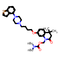 CCCCN(CCCC)C(=O)OCN1C(=O)CC(C)(C)c2ccc(OCCCCN3CCN(c4cccc5sccc45)CC3)cc21